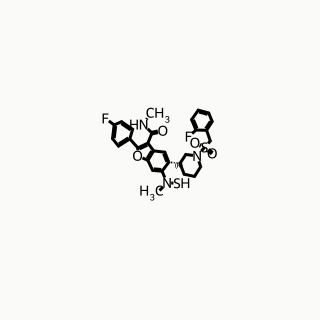 CNC(=O)c1c(-c2ccc(F)cc2)oc2cc(N(C)S)c([C@H]3CCCN(S(=O)(=O)Cc4ccccc4F)C3)cc12